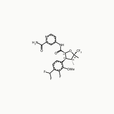 COc1c([C@H]2[C@@H](C(=O)Nc3ccnc(C(N)=O)c3)O[C@@](C)(C(F)(F)F)[C@@H]2C)ccc(C(F)F)c1F